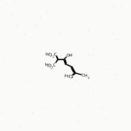 CC(O)=CC=C(O)C(C(=O)O)C(=O)O